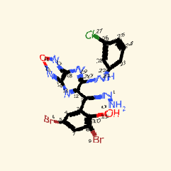 N/N=C(\c1cc(Br)cc(Br)c1O)c1nc2nonc2nc1Nc1cccc(Cl)c1